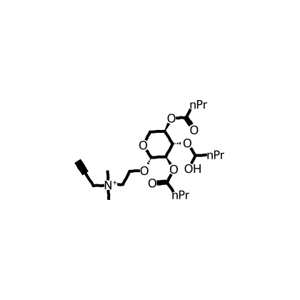 C#CC[N+](C)(C)CCO[C@@H]1OC[C@@H](OC(=O)CCC)[C@H](OC(O)CCC)[C@H]1OC(=O)CCC